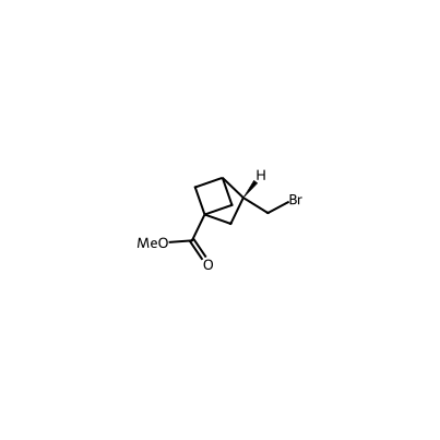 COC(=O)C12CC(C1)[C@H](CBr)C2